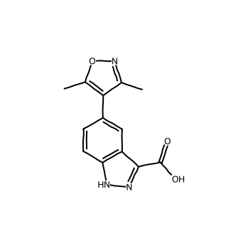 Cc1noc(C)c1-c1ccc2[nH]nc(C(=O)O)c2c1